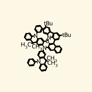 CC(C)(C)c1ccc2c(c1)c1cc(C(C)(C)C)cc3c1n2B1c2cc4c(cc2N(c2ccc5c(c2)C(C)(C)c2ccccc2N5c2ccccc2)c2cc5ccccc5c-3c21)C(C)(C)c1ccccc1N4c1ccccc1